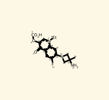 CCn1cc(OC(=O)O)c(=O)c2cc(F)c(N3CC(C)(N)C3)cc21